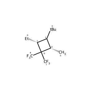 CC[C@@H]1C(C(C)(C)C)[C@H](C)C1(C(F)(F)F)C(F)(F)F